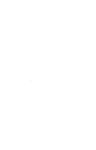 COC(=O)CC1CC(Oc2cc(C(=O)O)c(OC)cc2F)C1